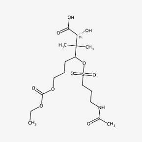 CCOC(=O)OCCCC(OS(=O)(=O)CCCNC(C)=O)C(C)(C)[C@@H](O)C(=O)O